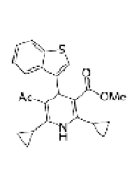 COC(=O)C1=C(C2CC2)NC(C2CC2)=C(C(C)=O)C1c1csc2ccccc12